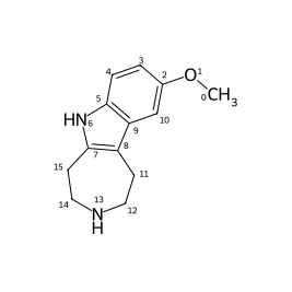 COc1ccc2[nH]c3c(c2c1)CCNCC3